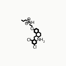 CCCS(=O)(=O)NCCOc1ccc2c(c1)C(Cc1ccc(Cl)cc1Cl)C(N)CC2